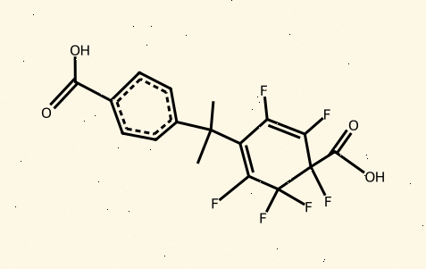 CC(C)(C1=C(F)C(F)(F)C(F)(C(=O)O)C(F)=C1F)c1ccc(C(=O)O)cc1